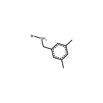 Cc1cc(C)cc(C[SiH2]Br)c1